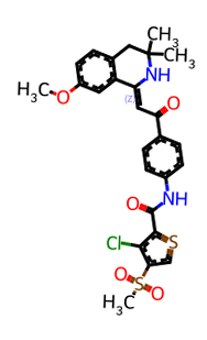 COc1ccc2c(c1)/C(=C/C(=O)c1ccc(NC(=O)c3scc(S(C)(=O)=O)c3Cl)cc1)NC(C)(C)C2